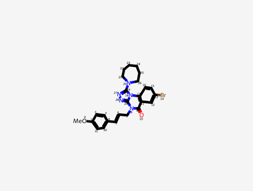 COc1ccc(/C=C/Cn2c(=O)c3cc(Br)ccc3n3c(N4CCCCCC4)nnc23)cc1